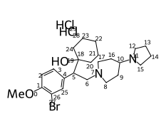 COc1ccc(C(CN2CCC(N3CCCC3)CC2)C2(O)CCCCC2)cc1Br.Cl.Cl